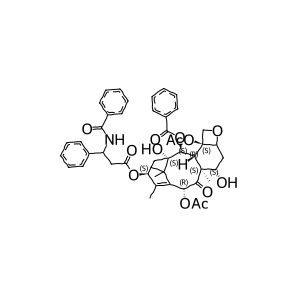 CC(=O)O[C@H]1C(=O)[C@]2(C)[C@@H](O)CC3OC[C@@]3(OC(C)=O)[C@H]2[C@H](OC(=O)c2ccccc2)[C@]2(O)C[C@H](OC(=O)CC(NC(=O)c3ccccc3)c3ccccc3)C(C)=C1C2(C)C